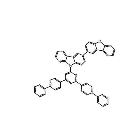 c1ccc(-c2ccc(-c3cc(-c4ccc(-c5ccccc5)cc4)nc(-n4c5ccc(-c6ccc7oc8ccccc8c7c6)cc5c5cccnc54)c3)cc2)cc1